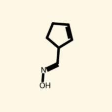 ON=CC1C=CCC1